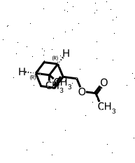 CC(=O)OCC1=CC[C@H]2C[C@@H]1C2(C)C